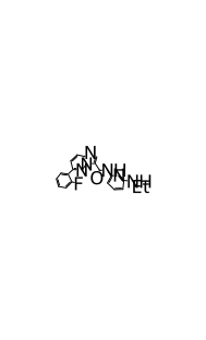 CCNc1cccc(NC(=O)c2cnc3ccc(-c4ccccc4F)nn23)n1